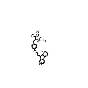 COC(Cc1ccc(OCC=C2c3cnccc3-c3cccnc32)cc1)C(=O)O